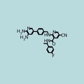 CC(NC(=O)c1cc(C#N)cnc1NCc1ccc(-c2cnc(N)c(N)c2)cc1)c1ccc(F)cc1